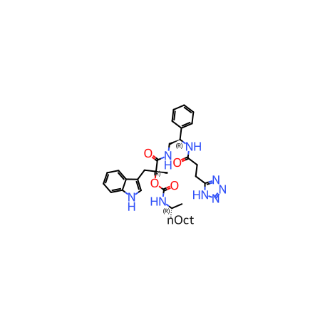 CCCCCCCC[C@@H](C)NC(=O)O[C@](C)(Cc1c[nH]c2ccccc12)C(=O)NC[C@H](NC(=O)CCc1nnn[nH]1)c1ccccc1